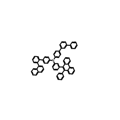 c1ccc(-c2cccc(-c3ccc(N(c4ccc(-c5ccccc5-c5cccc6ccccc56)cc4)c4cccc(-c5c(-c6ccccc6)c6ccccc6c6ccccc56)c4)cc3)c2)cc1